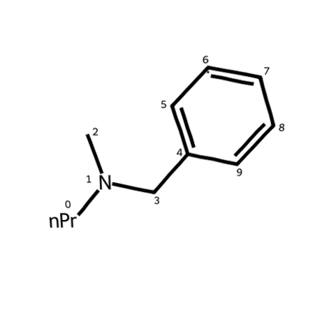 CCCN(C)Cc1c[c]ccc1